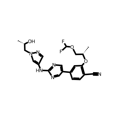 C[C@H](O)Cn1cc(Nc2ncc(-c3ccc(C#N)c(O[C@@H](C)COC(F)F)c3)cn2)cn1